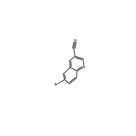 N#Cc1cnc2ccc(Br)cc2c1